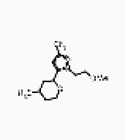 COCCn1nc(C(F)(F)F)cc1C1CC(C)CCO1